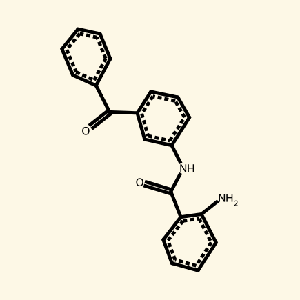 Nc1ccccc1C(=O)Nc1cccc(C(=O)c2ccccc2)c1